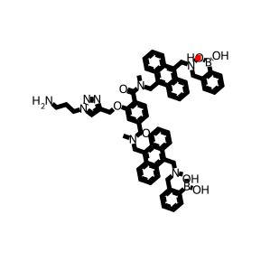 CN(Cc1ccccc1B(O)O)Cc1c2ccccc2c(CN(C)C(=O)c2ccc(C(=O)N(C)Cc3c4ccccc4c(CN(C)Cc4ccccc4B(O)O)c4ccccc34)c(OCc3cn(CCCN)nn3)c2)c2ccccc12